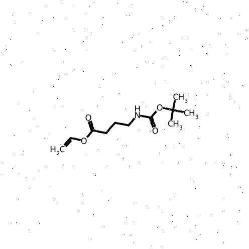 C=COC(=O)CCCNC(=O)OC(C)(C)C